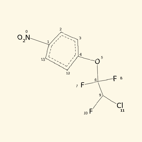 O=[N+]([O-])c1ccc(OC(F)(F)C(F)Cl)cc1